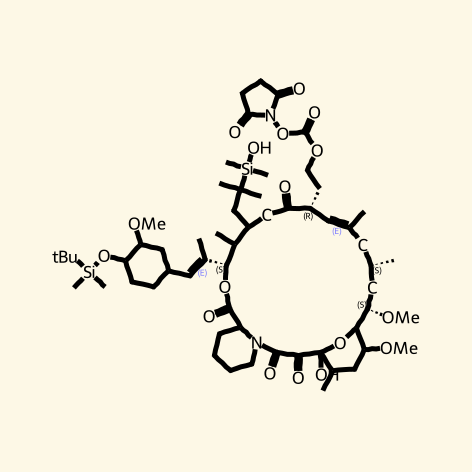 COC1CC(/C=C(\C)[C@H]2OC(=O)C3CCCCN3C(=O)C(=O)C3(O)OC(C(OC)CC3C)[C@@H](OC)C[C@@H](C)C/C(C)=C/[C@@H](CCOC(=O)ON3C(=O)CCC3=O)C(=O)CC(CC(C)(C)[Si](C)(C)O)C2C)CCC1O[Si](C)(C)C(C)(C)C